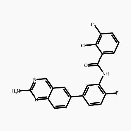 Nc1ncc2cc(-c3ccc(F)c(NC(=O)c4cccc(Cl)c4Cl)c3)ccc2n1